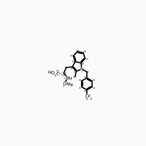 CON[C@@H](Cc1c(C)n(Cc2ccc(C(F)(F)F)cc2)c2ccccc12)C(=O)O